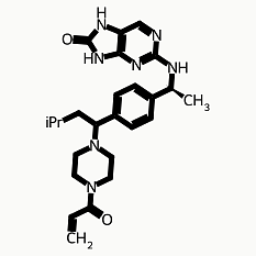 C=CC(=O)N1CCN(C(CC(C)C)c2ccc([C@H](C)Nc3ncc4[nH]c(=O)[nH]c4n3)cc2)CC1